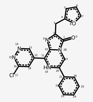 O=c1c(Cc2ccco2)nc2c(-c3cnnc(Cl)c3)[nH]c(-c3ccccc3)cn1-2